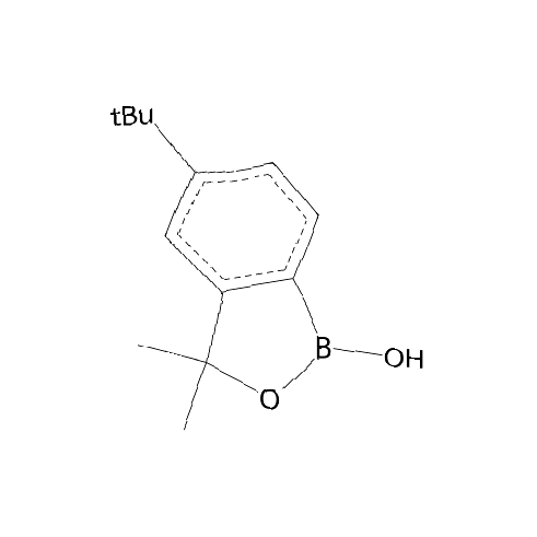 CC(C)(C)c1ccc2c(c1)C(C)(C)OB2O